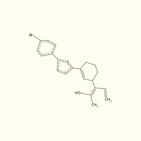 C=C/C(=C(\C)O)C1C=C(c2ccc(-c3ccc(Br)cc3)s2)CCC1